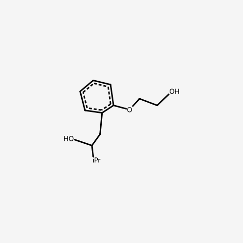 CC(C)C(O)Cc1ccccc1OCCO